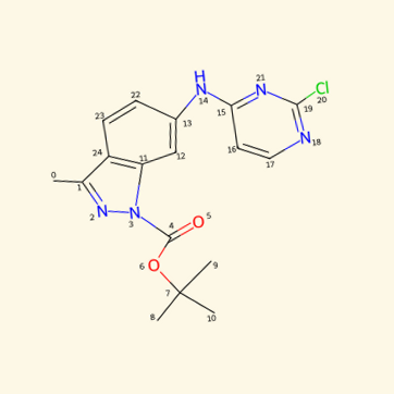 Cc1nn(C(=O)OC(C)(C)C)c2cc(Nc3ccnc(Cl)n3)ccc12